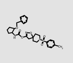 Cc1ccc(S(=O)(=O)N2CCC3(CC2)CC(OC(=O)NC2CCCC2OCc2ccccc2)=NO3)cc1